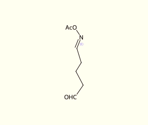 CC(=O)O/N=C/CCCC=O